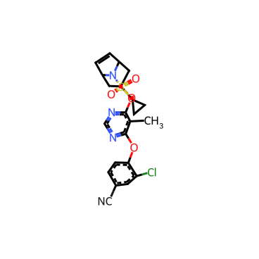 Cc1c(Oc2ccc(C#N)cc2Cl)ncnc1OC1CC2C=CC(C1)N2S(=O)(=O)C1CC1